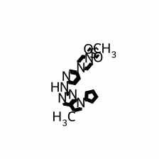 CC1CN(C2CCCC2)c2nc(Nc3ccc(N4CCN(S(C)(=O)=O)CC4)cn3)ncc21